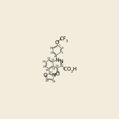 O=C(O)c1nn(-c2ccc(OC(F)(F)F)cc2)c2cccc(-c3ncco3)c2c1=O